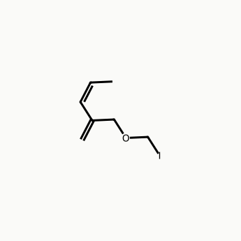 C=C(/C=C\C)COCI